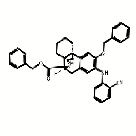 N#Cc1ccccc1Nc1cc2c(cc1OCc1ccccc1)[C@]13CCCC[C@@H]1[C@H](C2)N(C(=O)OCc1ccccc1)CC3